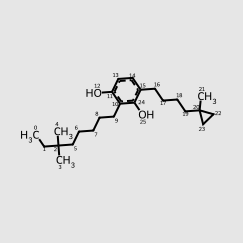 CCC(C)(C)CCCCCc1c(O)ccc(CCCCC2(C)CC2)c1O